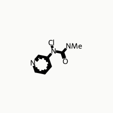 CNC(=O)N(Cl)c1cccnc1